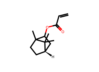 C=CC(=O)OC1C[C@@H]2CCC1(C)C2(C)C